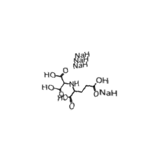 O=C(O)CCC(NC(C(=O)O)C(=O)O)C(=O)O.[NaH].[NaH].[NaH].[NaH]